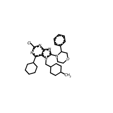 CC1CCC(Cn2c(N3CCOCC3c3ccccc3)nc3nc(Cl)nc(C4CCCCC4)c32)CC1